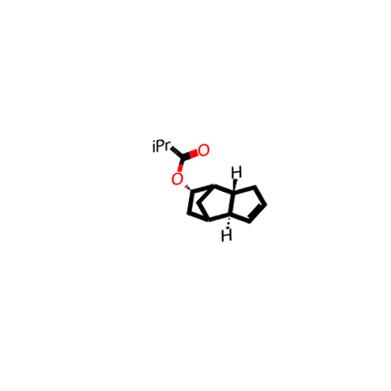 CC(C)C(=O)O[C@H]1CC2CC1[C@@H]1CC=C[C@@H]21